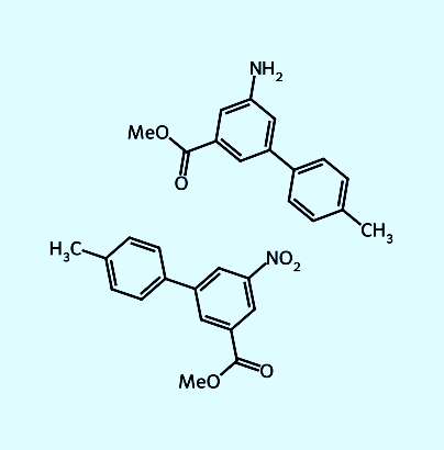 COC(=O)c1cc(-c2ccc(C)cc2)cc([N+](=O)[O-])c1.COC(=O)c1cc(N)cc(-c2ccc(C)cc2)c1